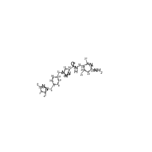 Cc1cc(C)n(Cc2ccc(Cn3cc(C(=O)NCc4c(C)cc(N)nc4C)nn3)cc2)n1